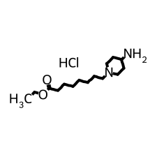 CCOC(=O)CCCCCCCN1CCC(N)CC1.Cl